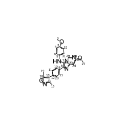 COc1ccc(Nc2c(-c3ccc(-c4c(C)noc4C)cc3)nc3cc(OC)ncn23)cc1